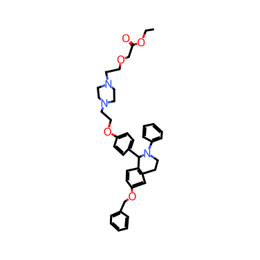 CCOC(=O)COCCN1CCN(CCOc2ccc(C3c4ccc(OCc5ccccc5)cc4CCN3c3ccccc3)cc2)CC1